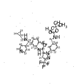 CC(C)(C)OC(=O)NCc1cccc(-n2nc(C(F)(F)F)cc2C(=O)Nc2cc(C(NCC3CC3)c3ccncc3)ccc2F)c1